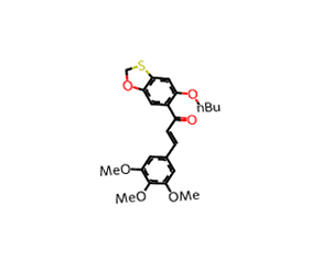 CCCCOc1cc2c(cc1C(=O)C=Cc1cc(OC)c(OC)c(OC)c1)OCS2